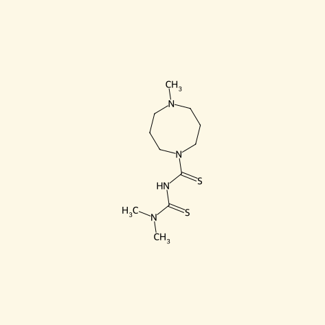 CN1CCCN(C(=S)NC(=S)N(C)C)CCC1